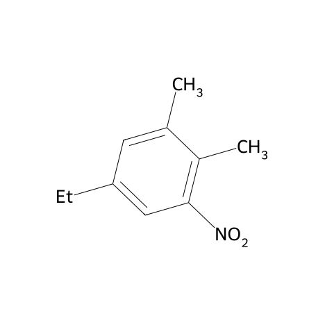 CCc1cc(C)c(C)c([N+](=O)[O-])c1